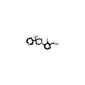 OCc1cccc(N2CCC(O)(c3cccnc3)CC2)c1F